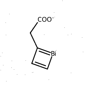 O=C([O-])C[C]1=[Bi][CH]=C1